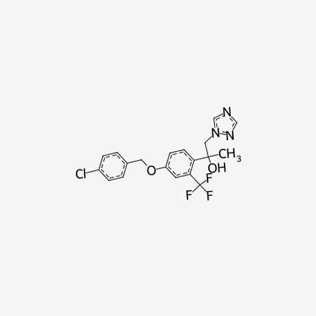 CC(O)(Cn1cncn1)c1ccc(OCc2ccc(Cl)cc2)cc1C(F)(F)F